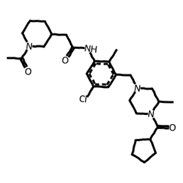 CC(=O)N1CCCC(CC(=O)Nc2cc(Cl)cc(CN3CCN(C(=O)C4CCCC4)C(C)C3)c2C)C1